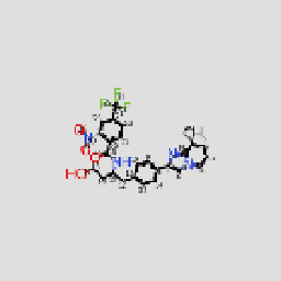 Cc1cccn2cc(-c3ccc(CC(CCO)NC(=O)c4ccc(C(F)(F)F)cc4[N+](=O)[O-])cc3)nc12